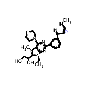 CCN1c2nc(-c3cccc(C(=N)/C=C\NC)c3)nc(N3CCOCC3)c2N(C)C1C(O)CO